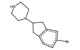 Brc1ccc2c(c1)CC(N1CCNCC1)C2